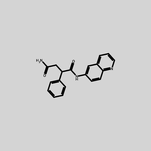 NC(=O)CC(C(=O)Nc1ccc2ncccc2c1)c1ccccc1